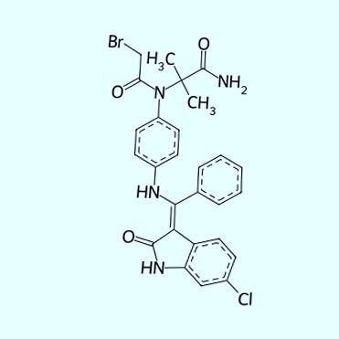 CC(C)(C(N)=O)N(C(=O)CBr)c1ccc(N/C(=C2\C(=O)Nc3cc(Cl)ccc32)c2ccccc2)cc1